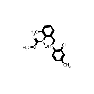 COC(=O)N(O)c1c(C)cccc1COc1ccc(C)cc1C